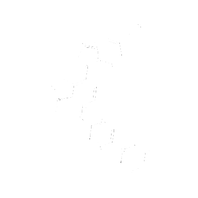 N#Cc1ccn2c(-c3ccc(Nc4ccc(N5CCOCC5)cn4)c4c3CNC4=O)cnc2c1